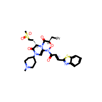 CC(C)C[C@H]1ON(C(=O)/C=C/c2nc3ccccc3s2)C2=CN(C3CCN(C)CC3)C(=O)[C@H](CCS(C)(=O)=O)N2C1=O